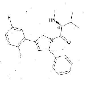 CN[C@H](C(=O)N1CC(c2cc(F)ccc2F)=CC1c1ccccc1)C(C)C